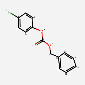 Fc1ccc(OC(=S)OCc2ccccc2)cc1